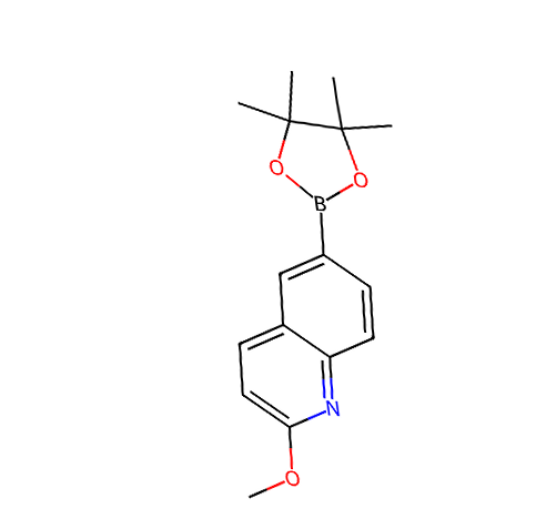 COc1ccc2cc(B3OC(C)(C)C(C)(C)O3)ccc2n1